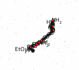 CCOC(=O)C1=C(Nc2ccccc2)S/C(=C\c2ccc(OCCOCCN(N)/C=C(\N)COCCOCCOCCOCCOc3ccn4cc(-c5cc6ccc(NCCN)cc6oc5=O)nc4c3)c(O)c2)C1=O